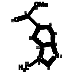 COC(=O)c1ccc2ncn(C)c2c1